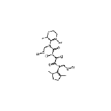 CCOCN(C(=O)C(Cl)C(Cl)C(=O)N(COCC)C1=C(CC)CCCC1C)C1=C(C)CCC1C